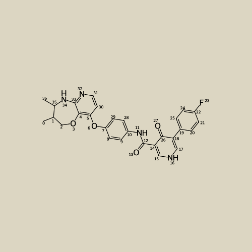 CC1COc2c(Oc3ccc(NC(=O)c4c[nH]cc(-c5ccc(F)cc5)c4=O)cc3)ccnc2NC1C